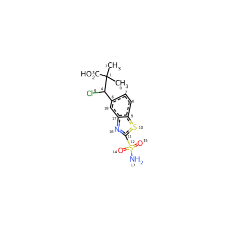 CC(C)(C(=O)O)C(Cl)c1ccc2sc(S(N)(=O)=O)nc2c1